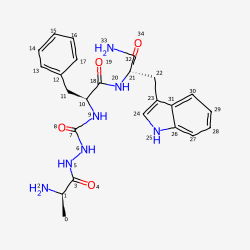 C[C@@H](N)C(=O)NNC(=O)N[C@@H](Cc1ccccc1)C(=O)N[C@@H](Cc1c[nH]c2ccccc12)C(N)=O